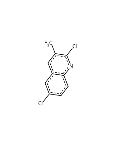 FC(F)(F)c1cc2cc(Cl)ccc2nc1Cl